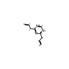 C=CCc1ncnc(CC=C)n1